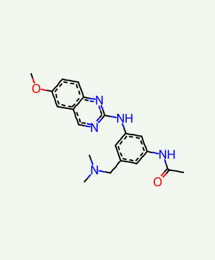 COc1ccc2nc(Nc3cc(CN(C)C)cc(NC(C)=O)c3)ncc2c1